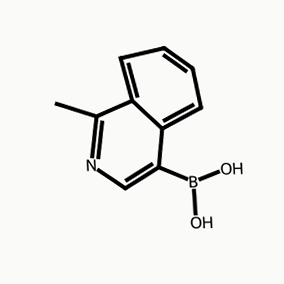 Cc1ncc(B(O)O)c2ccccc12